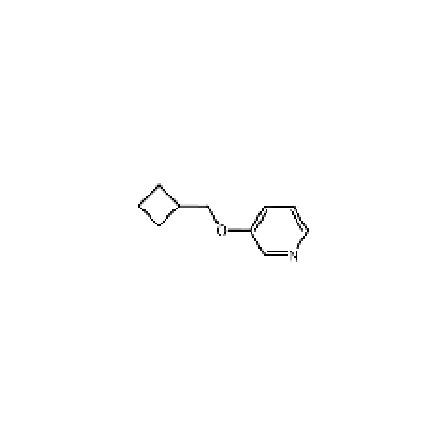 [c]1cncc(OCC2CCC2)c1